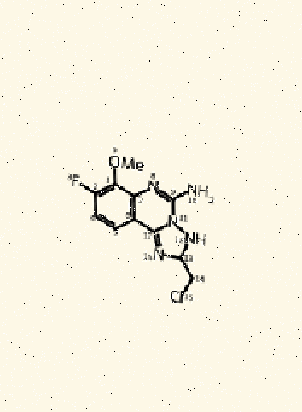 COc1c(F)ccc2c1N=C(N)N1NC(CCl)N=C21